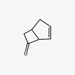 O=C1CC2CC=CC12